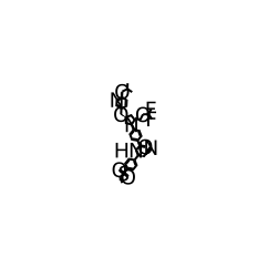 CCS(=O)(=O)c1ccc([C@H](CC#N)NC(=O)c2ccc(N3C[C@@H](Oc4ccc(OC(C)C)nc4)C[C@H]3COC(F)F)cc2)cc1